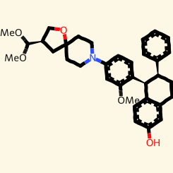 COc1cc(N2CCC3(CC2)C[C@@H](C(OC)OC)CO3)ccc1[C@@H]1c2ccc(O)cc2CC[C@@H]1c1ccccc1